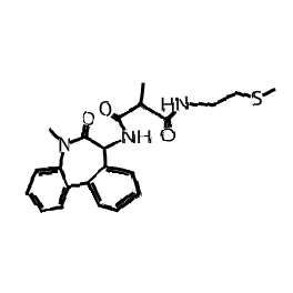 CSCCNC(=O)C(C)C(=O)NC1C(=O)N(C)c2ccccc2-c2ccccc21